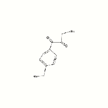 CC(C)(C)CC(=O)C(=O)c1ccc(CS)cc1